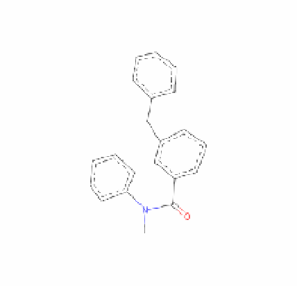 CN(C(=O)c1cccc(Cc2ccccc2)c1)c1ccccc1